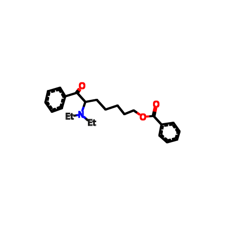 CCN(CC)C(CCCCCOC(=O)c1ccccc1)C(=O)c1ccccc1